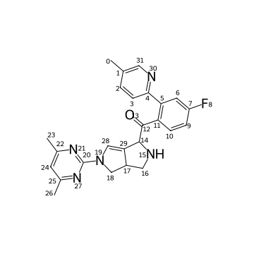 Cc1ccc(-c2cc(F)ccc2C(=O)C2NCC3CN(c4nc(C)cc(C)n4)C=C32)nc1